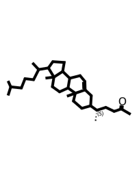 CC(=O)CC[C@H](C)C1CCC2(C)C(=CCC3C2CCC2(C)C(C(C)CCCC(C)C)CCC32)C1